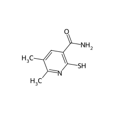 Cc1cc(C(N)=O)c(S)nc1C